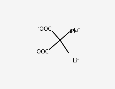 CC(C)C(C)(C(=O)[O-])C(=O)[O-].[Li+].[Li+]